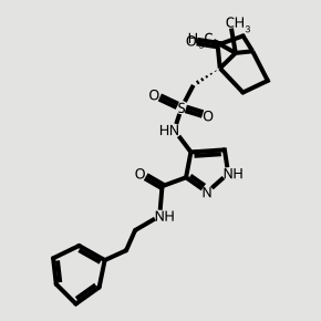 CC1(C)C2CC[C@@]1(CS(=O)(=O)Nc1c[nH]nc1C(=O)NCCc1ccccc1)C(=O)C2